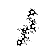 CNC(C(=O)NC(C(=O)N(C)C(C=C(C)C(=O)NS(=O)(=O)Cc1cccc(Cl)c1)C(C)C)C(C)(C)C)C(C)(C)c1ccccc1